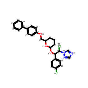 Clc1ccc(C(OC2CCCC(COc3ccc(-c4ccccc4)cc3)O2)C(Cl)n2cncn2)cc1